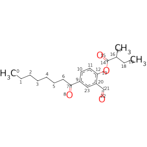 CCCCCCCC(=O)c1ccc(OC(=O)C(C)CC)c([C]=O)c1